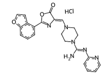 Cl.NC(=Nc1ccccn1)N1CCN(C=C2N=C(c3cccc4occc34)OC2=O)CC1